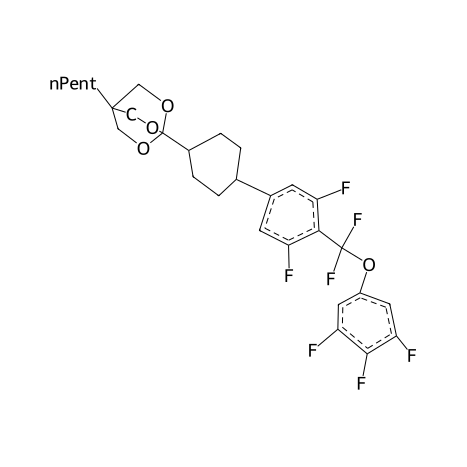 CCCCCC12COC(C3CCC(c4cc(F)c(C(F)(F)Oc5cc(F)c(F)c(F)c5)c(F)c4)CC3)(OC1)OC2